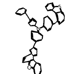 C1=CC(N(c2ccc(-c3ccccc3)cc2)c2ccc(-c3ccc4c(ccc5oc6ccccc6c54)c3)cc2)CC=C1c1cccc2sc3ccccc3c12